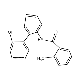 Cc1ccccc1C(=O)Pc1ccccc1-c1ccccc1O